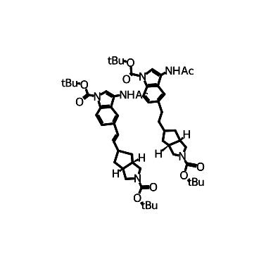 CC(=O)Nc1cn(C(=O)OC(C)(C)C)c2ccc(/C=C/C3C[C@@H]4CN(C(=O)OC(C)(C)C)C[C@@H]4C3)cc12.CC(=O)Nc1cn(C(=O)OC(C)(C)C)c2ccc(CCC3C[C@@H]4CN(C(=O)OC(C)(C)C)C[C@@H]4C3)cc12